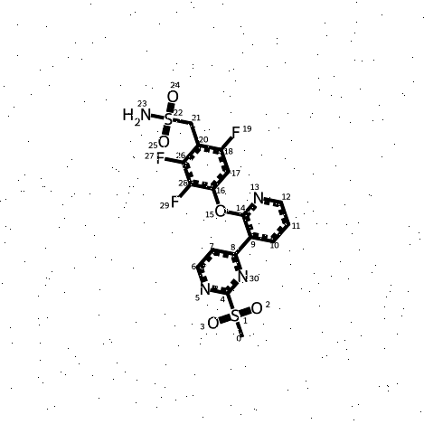 CS(=O)(=O)c1nccc(-c2cccnc2Oc2cc(F)c(CS(N)(=O)=O)c(F)c2F)n1